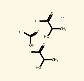 CC(=O)O.CC(O)C(=O)O.CC(O)C(=O)[O-].[K+]